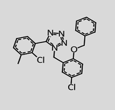 Cc1cccc(-c2nnnn2Cc2cc(Cl)ccc2OCc2ccccc2)c1Cl